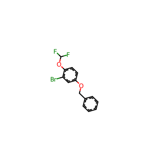 FC(F)Oc1ccc(OCc2ccccc2)cc1Br